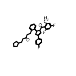 Cc1cc(F)cc(F)c1C(=O)C1C=C(c2ccc(F)cc2)CC1c1ccccc1CCC(=O)CCC1CCCC1